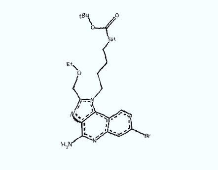 CCOCc1nc2c(N)nc3cc(Br)ccc3c2n1CCCCNC(=O)OC(C)(C)C